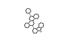 c1ccc(-c2cc3c4ccccc4c(-c4cccc5sc6ccccc6c45)cc3c3ccccc23)cc1